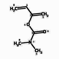 C=CC(=C)OC(=O)N(C)C